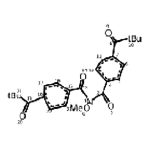 CON(C(=O)c1ccc(C(=O)C(C)(C)C)cc1)C(=O)c1ccc(C(=O)C(C)(C)C)cc1